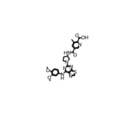 COc1ccc(Nc2nc(N3CCC(NC(=O)c4cnc(C(=O)O)c(C)c4)C3)nc3scnc23)cc1OC